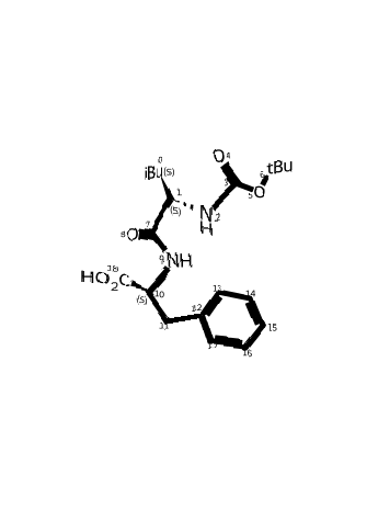 CC[C@H](C)[C@H](NC(=O)OC(C)(C)C)C(=O)N[C@@H](Cc1ccccc1)C(=O)O